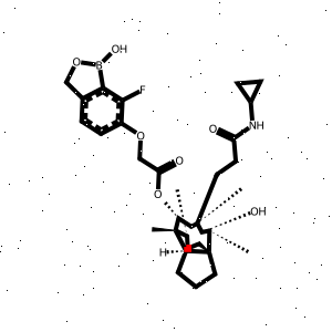 C[C@@H]1CC[C@@]23CCC[C@H]2[C@]1(C)[C@H](OC(=O)COc1ccc2c(c1F)B(O)OC2)C[C@@](C)(CCC(=O)NC1CC1)[C@@H](O)[C@@H]3C